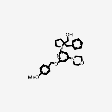 COc1ccc(COc2cc(N3CCOCC3)cc(N3CCCC3(CO)Cc3ccccc3)n2)cc1